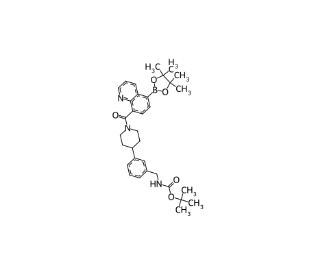 CC(C)(C)OC(=O)NCc1cccc(C2CCN(C(=O)c3ccc(B4OC(C)(C)C(C)(C)O4)c4cccnc34)CC2)c1